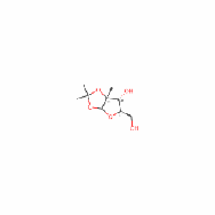 CC1(C)OC2O[C@H](CO)[C@@H](O)[C@@]2(C)O1